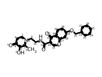 Cc1c(O)c(=O)ccn1CCNC(=O)c1coc2cc(OCc3ccccc3)ccc2c1=O